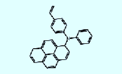 C=Cc1ccc(N(c2ccccc2)C2C=Cc3ccc4c5c(ccc2c35)CC=C4)cc1